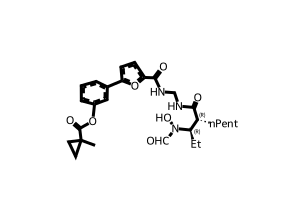 CCCCC[C@@H](C(=O)NCNC(=O)c1ccc(-c2cccc(OC(=O)C3(C)CC3)c2)o1)[C@@H](CC)N(O)C=O